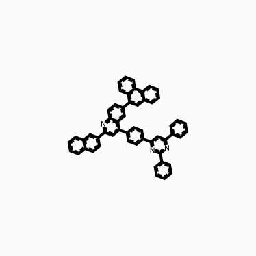 c1ccc(-c2cc(-c3ccc(-c4cc(-c5ccc6ccccc6c5)nc5ccc(-c6cc7ccccc7c7ccccc67)cc45)cc3)nc(-c3ccccc3)n2)cc1